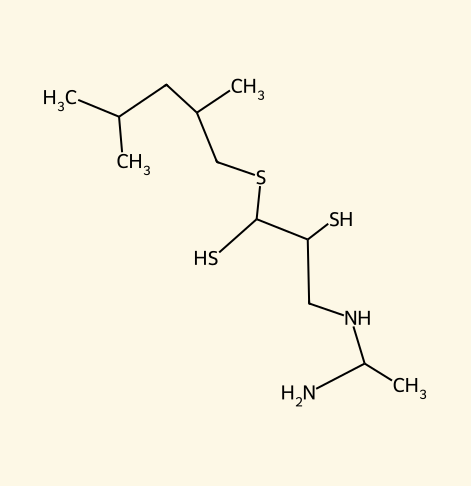 CC(C)CC(C)CSC(S)C(S)CNC(C)N